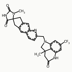 CN1C(=O)NC(=O)C12Cc1cc3ccc(CN4CC5(C)CC(=O)Nc6cc(C(F)(F)F)cc4c65)nc3cc1C2